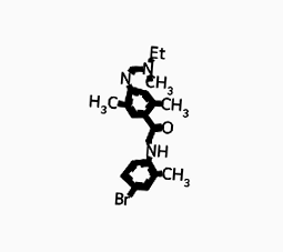 CCN(C)/C=N\c1cc(C)c(C(=O)CNc2ccc(Br)cc2C)cc1C